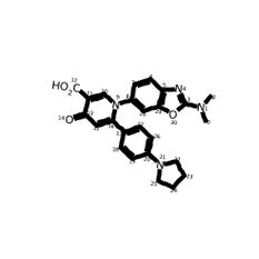 CN(C)c1nc2ccc(-n3cc(C(=O)O)c(=O)cc3-c3ccc(N4CCCC4)cc3)cc2o1